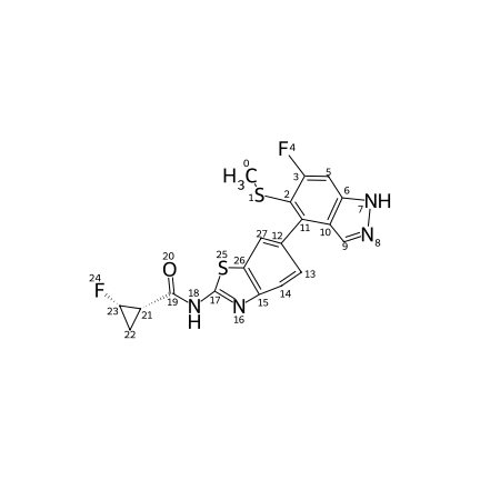 CSc1c(F)cc2[nH]ncc2c1-c1ccc2nc(NC(=O)[C@@H]3C[C@@H]3F)sc2c1